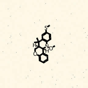 CON1c2ccc(SC)cc2C(C)(C)[C@H]2COc3ccccc3[C@H]21